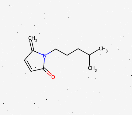 C=C1C=CC(=O)N1CCCC(C)C